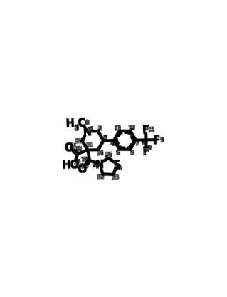 CN1CC(c2ccc(C(F)(F)F)cc2)CC(C(=O)O)(C(=O)N2CCSC2)C1